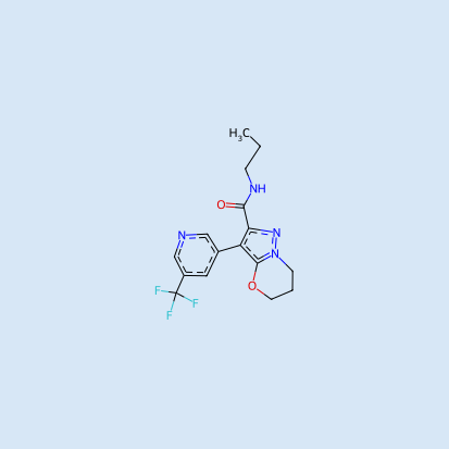 CCCNC(=O)c1nn2c(c1-c1cncc(C(F)(F)F)c1)OCCC2